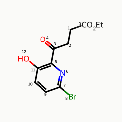 CCOC(=O)CCC(=O)c1nc(Br)ccc1O